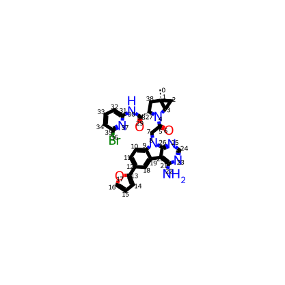 C[C@]12CC1N(C(=O)Cn1c3ccc(-c4ccco4)cc3c3c(N)ncnc31)[C@H](C(=O)Nc1cccc(Br)n1)C2